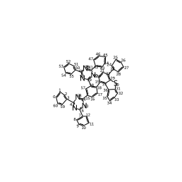 c1ccc(-c2nc(-c3ccccc3)nc(-c3ccc(-c4ccc(-c5ccccc5)c5sc6ccccc6c45)c(-c4nc(-c5ccccc5)nc(-c5ccccc5)n4)c3)n2)cc1